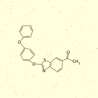 CC(=O)c1ccc2nc(Oc3ccc(Oc4ccccc4)cc3)sc2c1